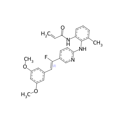 C=CC(=O)Nc1cccc(C)c1Nc1ccc(/C(F)=C/c2cc(OC)cc(OC)c2)cn1